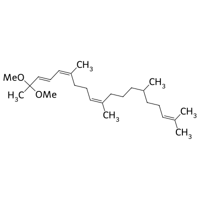 COC(C)(C=CC=C(C)CCC=C(C)CCCC(C)CCC=C(C)C)OC